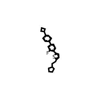 Fc1cc(-c2ccc(C3CCC3)cc2)ccc1-c1ccc(CCC2CCCC2)s1